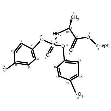 CCCCCCCOC(=O)[C@H](C)N[P@](=O)(Oc1ccc(Cl)cc1)Oc1ccc([N+](=O)[O-])cc1